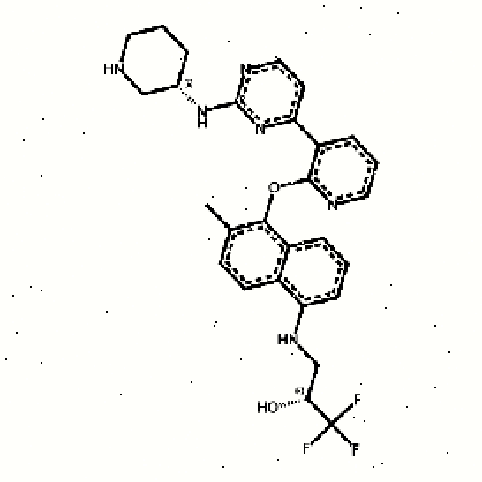 Cc1ccc2c(NC[C@@H](O)C(F)(F)F)cccc2c1Oc1ncccc1-c1ccnc(N[C@H]2CCCNC2)n1